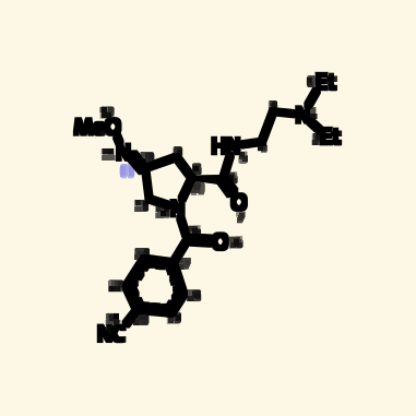 CCN(CC)CCNC(=O)[C@@H]1C/C(=N\OC)CN1C(=O)c1ccc(C#N)cc1